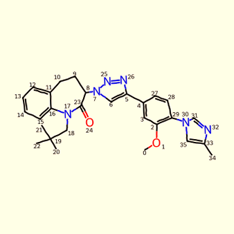 COc1cc(-c2cn(C3CCc4ccccc4N(CC(C)(C)C)C3=O)nn2)ccc1-n1cnc(C)c1